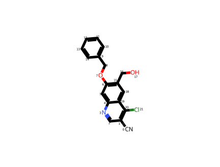 N#Cc1cnc2cc(OCc3ccccc3)c(CO)cc2c1Cl